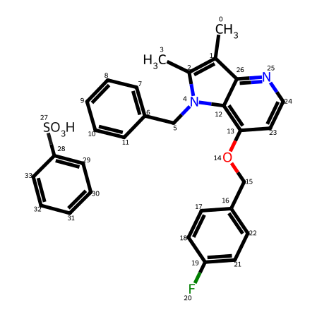 Cc1c(C)n(Cc2ccccc2)c2c(OCc3ccc(F)cc3)ccnc12.O=S(=O)(O)c1ccccc1